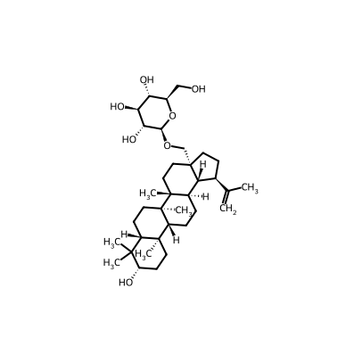 C=C(C)[C@@H]1CC[C@]2(CO[C@@H]3O[C@H](CO)[C@@H](O)[C@H](O)[C@H]3O)CC[C@]3(C)[C@H](CC[C@@H]4[C@@]5(C)CC[C@H](O)C(C)(C)[C@@H]5CC[C@]43C)[C@@H]12